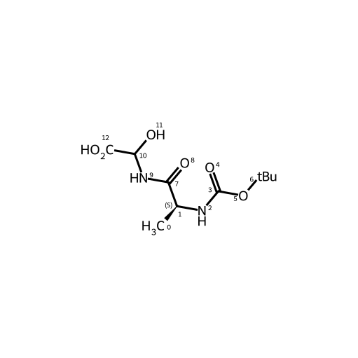 C[C@H](NC(=O)OC(C)(C)C)C(=O)NC(O)C(=O)O